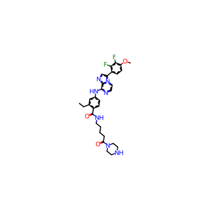 CCc1cc(Nc2nccn3c(-c4ccc(OC)c(F)c4F)cnc23)ccc1C(=O)NCCCCC(=O)N1CCNCC1